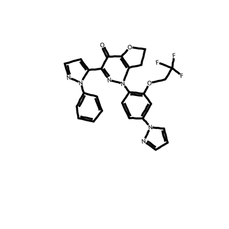 O=c1c(-c2ccnn2-c2ccccc2)nn(-c2ccc(-n3cccn3)cc2OCC(F)(F)F)c2c1OCC2